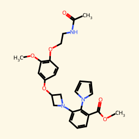 COC(=O)c1cccc(N2CC(Oc3ccc(OCCNC(C)=O)c(OC)c3)C2)c1-n1cccc1